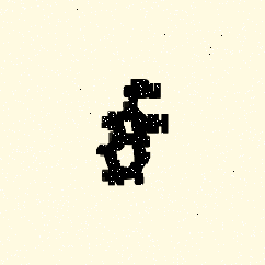 CCC(C)c1nc2cnccc2[nH]1